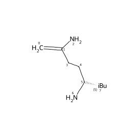 C=C(N)CCC(N)[C@@H](C)CC